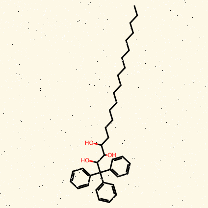 CCCCCCCCCCCCCCCCC(O)C(O)C(O)C(c1ccccc1)(c1ccccc1)c1ccccc1